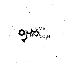 COc1cc(C(=O)O)cn2nc(-c3cc4ccccc4n3CC3CC3)c(C)c12